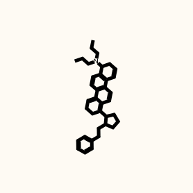 CCCN(CCC)C1CC=Cc2c1ccc1c3c(ccc21)=C(C1CCCC1CCc1ccccc1)CCC=3